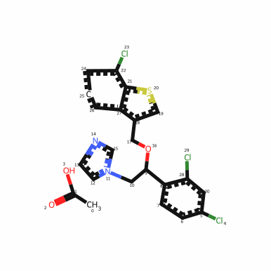 CC(=O)O.Clc1ccc(C(Cn2ccnc2)OCc2csc3c(Cl)cccc23)c(Cl)c1